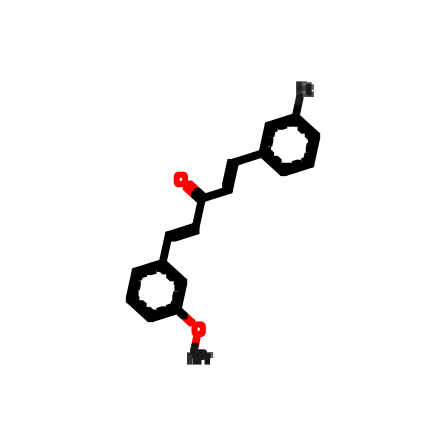 CCCOc1cccc(/C=C/C(=O)/C=C/c2cccc(CC)c2)c1